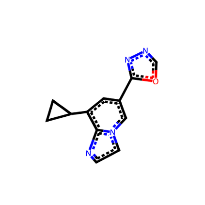 c1cn2cc(-c3nnco3)cc(C3CC3)c2n1